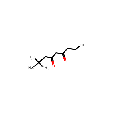 CCCC(=O)CC(=O)CC(C)(C)C